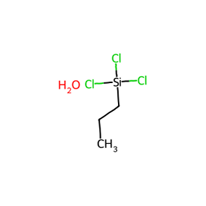 CCC[Si](Cl)(Cl)Cl.O